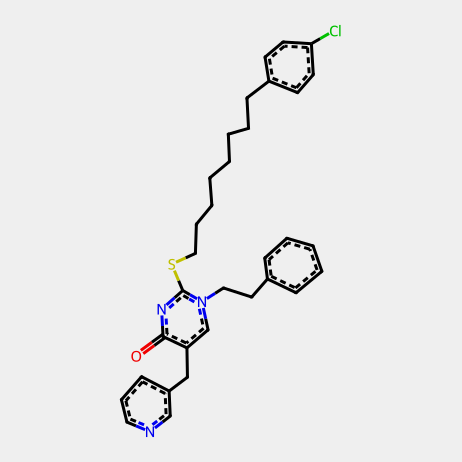 O=c1nc(SCCCCCCCCc2ccc(Cl)cc2)n(CCc2ccccc2)cc1Cc1cccnc1